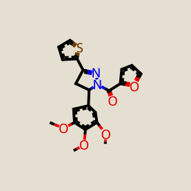 COc1cc(C2CC(c3cccs3)=NN2C(=O)c2ccco2)cc(OC)c1OC